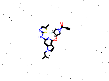 C#CC(=O)N1C[C@H](F)[C@H](Oc2nc(Nc3ncc(C)s3)cc3c2ccn3CC(C)C)C1